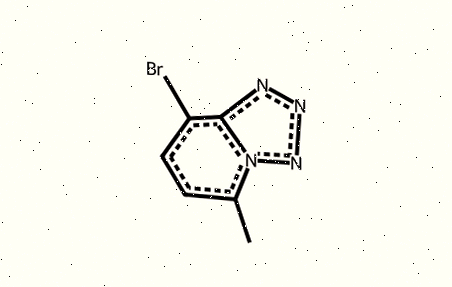 Cc1ccc(Br)c2nnnn12